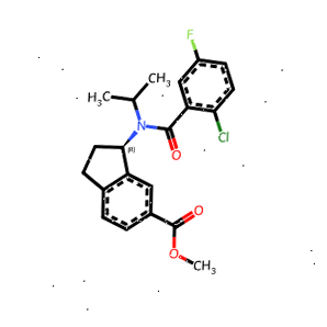 COC(=O)c1ccc2c(c1)[C@H](N(C(=O)c1cc(F)ccc1Cl)C(C)C)CC2